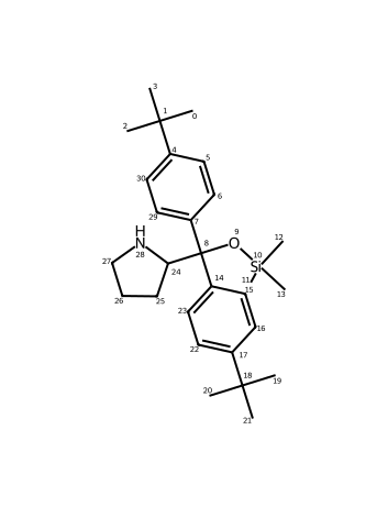 CC(C)(C)c1ccc(C(O[Si](C)(C)C)(c2ccc(C(C)(C)C)cc2)C2CCCN2)cc1